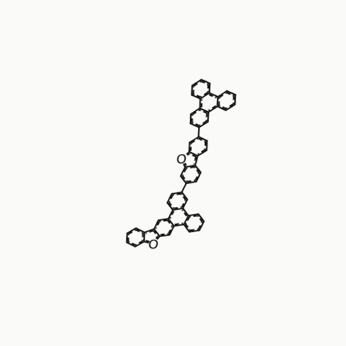 c1ccc2c(c1)oc1cc3c4ccccc4c4cc(-c5ccc6c(c5)oc5cc(-c7ccc8c9ccccc9c9ccccc9c8c7)ccc56)ccc4c3cc12